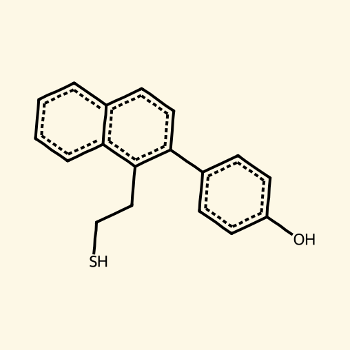 Oc1ccc(-c2ccc3ccccc3c2CCS)cc1